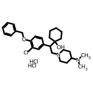 CN(C)C1CCN(CC(c2ccc(OCc3ccccc3)c(Cl)c2)C2(O)CCCCC2)CC1.Cl.Cl